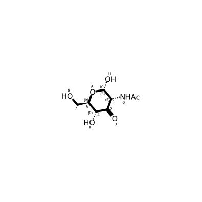 CC(=O)N[C@@H]1C(=O)[C@H](O)[C@@H](CO)O[C@@H]1O